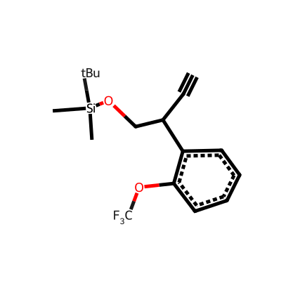 C#CC(CO[Si](C)(C)C(C)(C)C)c1ccccc1OC(F)(F)F